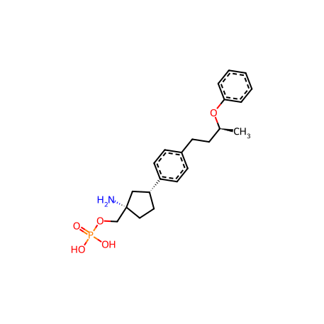 C[C@@H](CCc1ccc([C@@H]2CC[C@@](N)(COP(=O)(O)O)C2)cc1)Oc1ccccc1